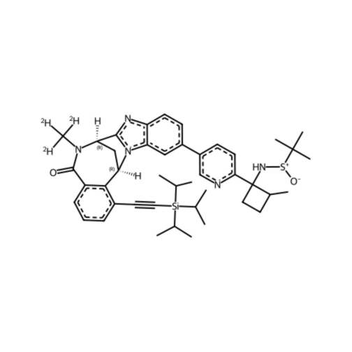 [2H]C([2H])([2H])N1C(=O)c2cccc(C#C[Si](C(C)C)(C(C)C)C(C)C)c2[C@H]2C[C@@H]1c1nc3ccc(-c4ccc(C5(N[S+]([O-])C(C)(C)C)CCC5C)nc4)cc3n12